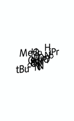 COc1ccccc1Oc1c(NS(=O)(=O)c2ccc(C(C)(C)C)cc2)nc(-c2ncccn2)nc1OCCC(=O)Nc1c(C(C)C)cccc1C(C)C